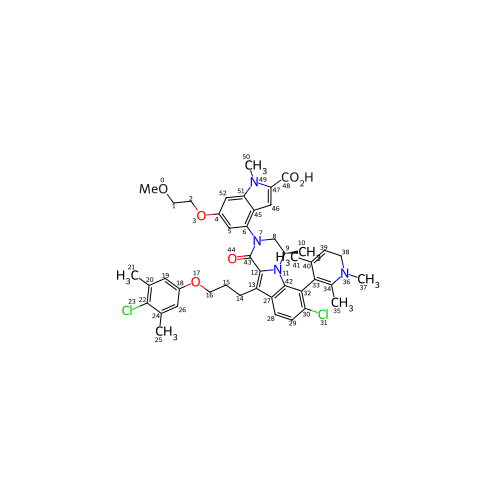 COCCOc1cc(N2C[C@@H](C)n3c(c(CCCOc4cc(C)c(Cl)c(C)c4)c4ccc(Cl)c(C5=C(C)N(C)CC=C5C)c43)C2=O)c2cc(C(=O)O)n(C)c2c1